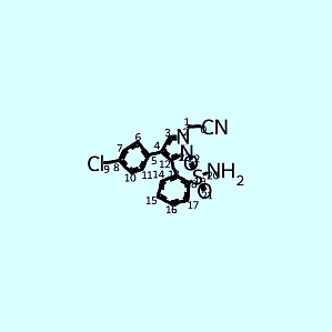 N#CCn1cc(-c2ccc(Cl)cc2)c(-c2ccccc2S(N)(=O)=O)n1